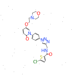 O=C(NCc1cn(-c2ccc(-n3cc(OCCN4CCOCC4)ccc3=O)cc2)nn1)c1ccc(Cl)s1